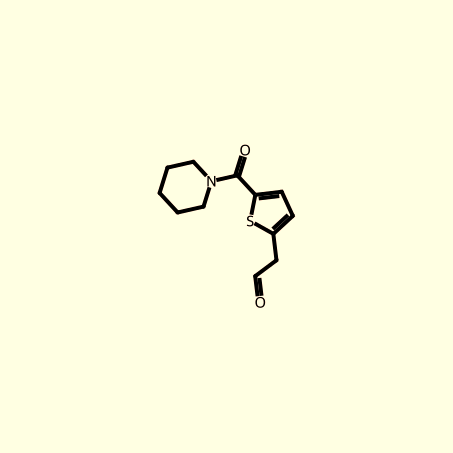 O=CCc1ccc(C(=O)N2CCCCC2)s1